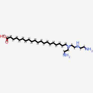 NCCNCCN(CCN)CCCCCCCCCCCCCCCCCCCC(=O)O